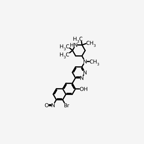 CN(c1ccc(-c2cc3ccc(N=O)c(Br)c3cc2O)nn1)C1CC(C)(C)NC(C)(C)C1